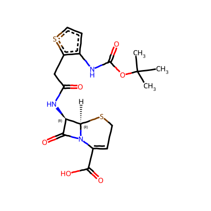 CC(C)(C)OC(=O)Nc1ccsc1CC(=O)N[C@@H]1C(=O)N2C(C(=O)O)=CCS[C@H]12